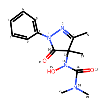 CC1=NN(c2ccccc2)C(=O)C1(C)N(O)C(=O)N(C)C